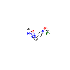 O=C(Nc1nc2cccc(C3CCC4(CC3)CN(C(O)[C@@H]3CC3(F)F)C4)n2n1)C1CC1